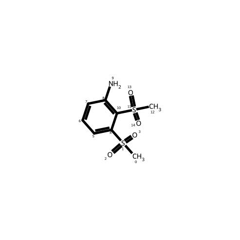 CS(=O)(=O)c1cccc(N)c1S(C)(=O)=O